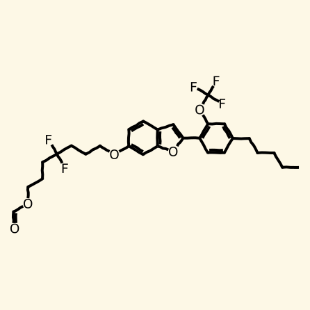 CCCCCc1ccc(-c2cc3ccc(OCCCC(F)(F)CCCOC=O)cc3o2)c(OC(F)(F)F)c1